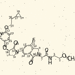 COCCNC(=O)CN1Cc2c(F)cc(N3CC[C@@H](Oc4ccc(OCCC5CC5)nc4)C3=O)cc2C1=O